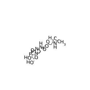 CC(C)NCCC(=O)OCC(=O)Nc1ccn([C@@H]2O[C@H](CO)[C@@H](O)C2(F)F)c(=O)n1